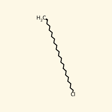 C=CCCCCCCCCCCCCCCCCCCCCCCCl